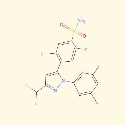 Cc1cc(C)cc(-n2nc(C(F)F)cc2-c2cc(F)c(S(N)(=O)=O)cc2F)c1